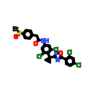 CC[S+]([O-])c1ccc(CC(=O)Nc2cc(Cl)c(C3(c4noc(-c5ccc(Cl)cc5Cl)n4)CC3)c(Cl)c2)cc1